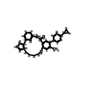 Cc1cc2c(cc1-c1ccc(C3CC3)nc1)C(=O)Nc1cccc(n1)-c1nncn1CCCCO2